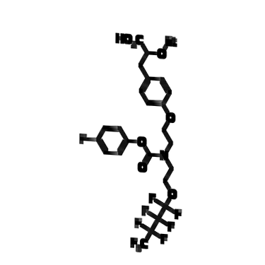 CCOC(Cc1ccc(OCCN(CCOC(F)(F)C(F)(F)C(F)(F)C(F)(F)F)C(=O)Oc2ccc(F)cc2)cc1)C(=O)O